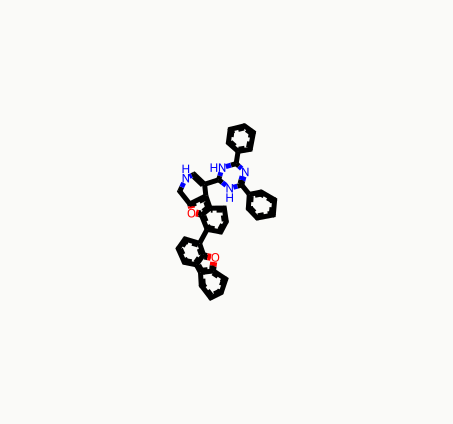 C1=C(C2NC(c3ccccc3)=NC(c3ccccc3)N2)c2c(oc3c(-c4cccc5c4oc4ccccc45)cccc23)CN1